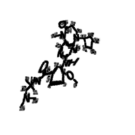 COc1ccc(C(=O)NCC(C)(C)CN(C)C)cc1Nc1ncc2c(n1)N(C1CCCC1)CCC(=O)N2C